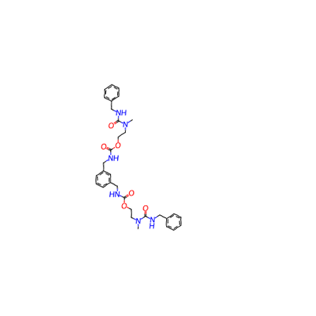 CN(CCOC(=O)NCc1cccc(CNC(=O)OCCN(C)C(=O)NCc2ccccc2)c1)C(=O)NCc1ccccc1